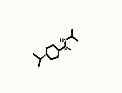 CC(C)N[C@@H](C)[C@H]1CC[C@@H](C(C)C)CC1